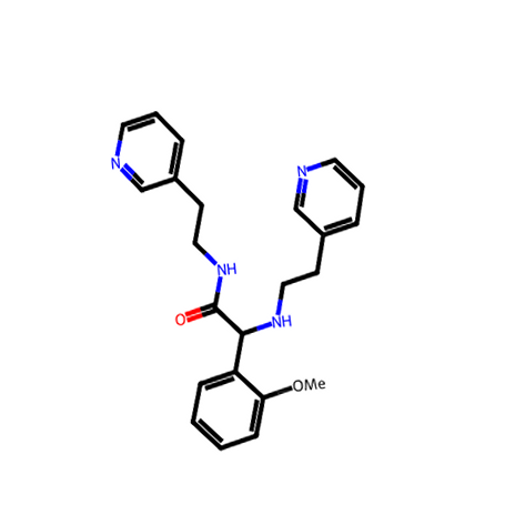 COc1ccccc1C(NCCc1cccnc1)C(=O)NCCc1cccnc1